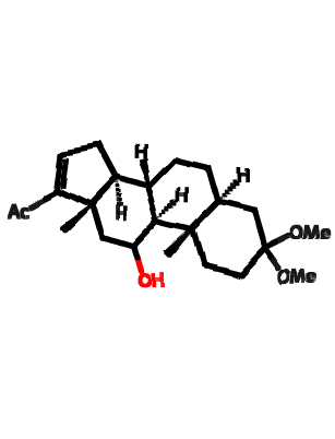 COC1(OC)CC[C@@]2(C)[C@@H](CC[C@@H]3[C@@H]2C(O)C[C@]2(C)C(C(C)=O)=CC[C@@H]32)C1